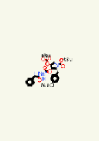 COc1ccc(C[C@@H]2[C@H](OC(=O)NNC(=O)Cc3ccccc3)[C@@H](OC(=O)OC(C)(C)C)CN2C(=O)OC(C)(C)C)cc1